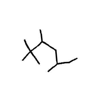 CCC(C)CC(C)C(C)(C)C